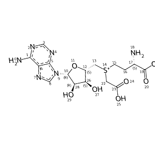 Nc1ncnc2c1ncn2[C@@H]1O[C@H](C[S+](CC[C@H](N)C(=O)O)CC(=O)O)[C@@H](O)[C@H]1O